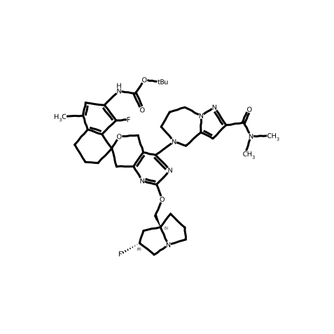 Cc1cc(NC(=O)OC(C)(C)C)c(F)c2c1CCCC21Cc2nc(OC[C@@]34CCCN3C[C@H](F)C4)nc(N3CCCn4nc(C(=O)N(C)C)cc4C3)c2CO1